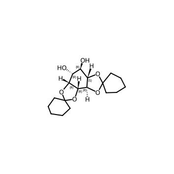 O[C@@H]1[C@@H](O)[C@@H]2OC3(CCCCC3)O[C@H]2[C@@H]2OC3(CCCCC3)O[C@H]12